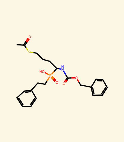 CC(=O)SCCCC(NC(=O)OCc1ccccc1)P(=O)(O)CCc1ccccc1